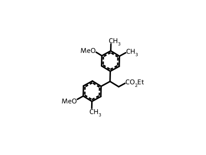 CCOC(=O)CC(c1ccc(OC)c(C)c1)c1cc(C)c(C)c(OC)c1